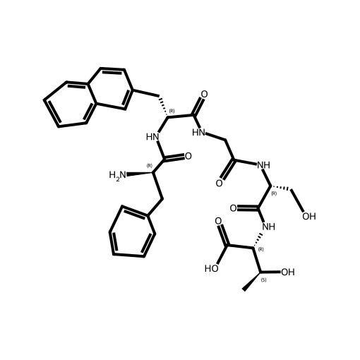 C[C@H](O)[C@@H](NC(=O)[C@@H](CO)NC(=O)CNC(=O)[C@@H](Cc1ccc2ccccc2c1)NC(=O)[C@H](N)Cc1ccccc1)C(=O)O